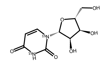 O=c1cc[15n]([C@@H]2O[C@H](CO)[C@@H](O)[C@H]2O)c(=O)[15nH]1